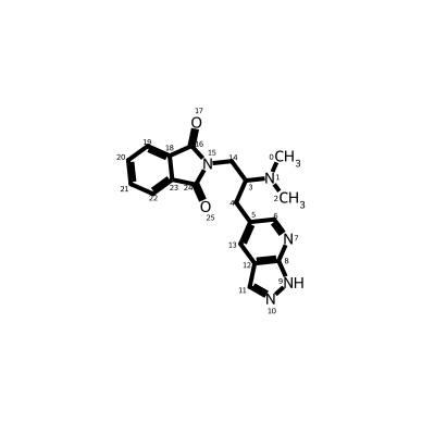 CN(C)C(Cc1cnc2[nH]ncc2c1)CN1C(=O)c2ccccc2C1=O